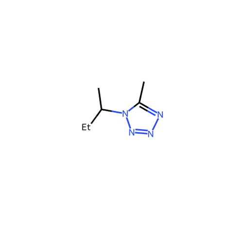 CCC(C)n1nnnc1C